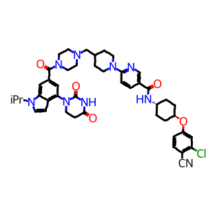 CC(C)n1ccc2c(N3CCC(=O)NC3=O)cc(C(=O)N3CCN(CC4CCN(c5ccc(C(=O)N[C@H]6CC[C@H](Oc7ccc(C#N)c(Cl)c7)CC6)cn5)CC4)CC3)cc21